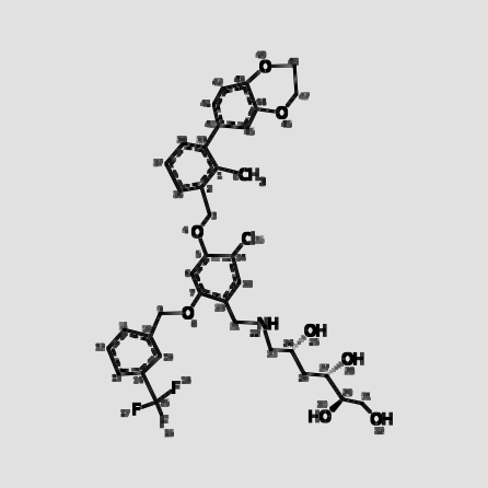 Cc1c(COc2cc(OCc3cccc(C(F)(F)F)c3)c(CNC[C@H](O)C[C@H](O)[C@H](O)CO)cc2Cl)cccc1-c1ccc2c(c1)OCCO2